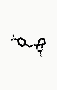 CN(C)c1ccc(CNc2nc(Cl)nc3ccccc23)cc1